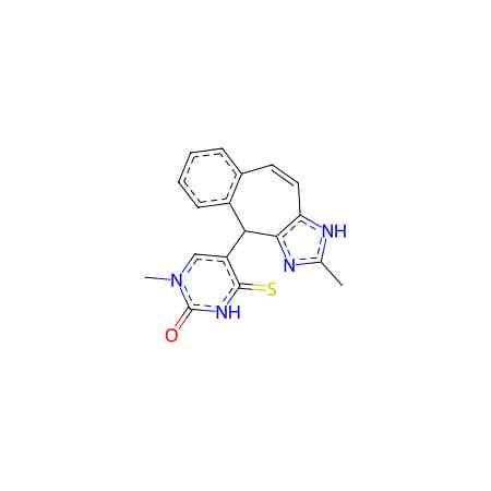 Cc1nc2c([nH]1)C=Cc1ccccc1C2c1cn(C)c(=O)[nH]c1=S